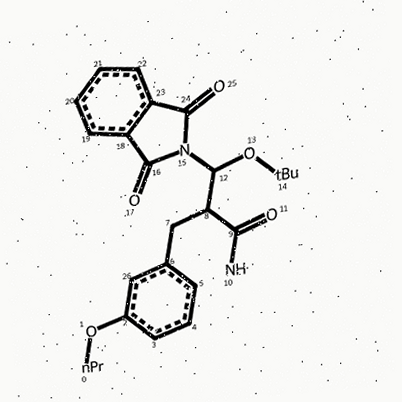 CCCOc1cccc(CC(C([NH])=O)C(OC(C)(C)C)N2C(=O)c3ccccc3C2=O)c1